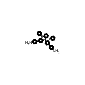 Nc1ccc(-c2ccc3c(c2)B(c2ccccc2)c2cccc4c2N3c2ccc(-c3ccc(N)cc3)cc2B4c2ccccc2)cc1